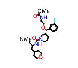 CNC[C@H](CC1CCOCC1)NC(=O)N1CCC[C@@H](C(OCCNC(=O)OC)c2cccc(F)c2)C1